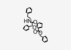 O=C(OCc1ccccc1)c1ccccc1OC(C(=O)NCCc1ccccc1)c1ccccc1